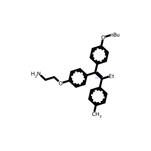 CCCCOc1ccc(/C(=C(\CC)c2ccc(C)cc2)c2ccc(OCCN)cc2)cc1